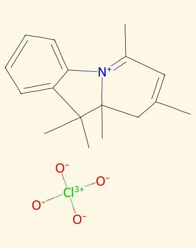 CC1=CC(C)=[N+]2c3ccccc3C(C)(C)C2(C)C1.[O-][Cl+3]([O-])([O-])[O-]